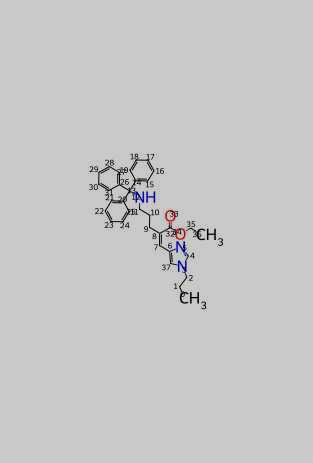 CCCn1cnc(C=C(CCCNC(c2ccccc2)(c2ccccc2)c2ccccc2)C(=O)OCC)c1